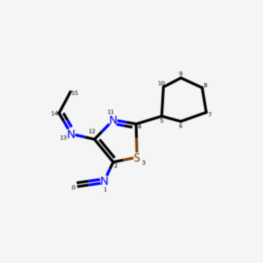 C=Nc1sc(C2CCCCC2)nc1/N=C\C